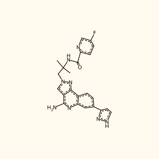 CC(C)(Cn1cc2c(N)nc3cc(-c4cc[nH]n4)ccc3c2n1)NC(=O)c1ccc(F)cn1